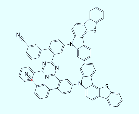 N#Cc1cccc(-c2ccc(-n3c4ccccc4c4c5sc6ccccc6c5ccc43)cc2-c2nc(-c3ccccc3)nc(-c3cc(-n4c5ccccc5c5c6sc7ccccc7c6ccc54)ccc3-c3cccc(C#N)c3)n2)c1